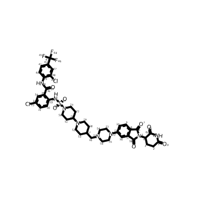 O=C1CCC(N2C(=O)c3ccc(N4CCN(CC5CCN(C6CCN(S(=O)(=O)Nc7ccc(Cl)cc7C(=O)Nc7ccc(C(F)(F)F)cc7Cl)CC6)CC5)CC4)cc3C2=O)C(=O)N1